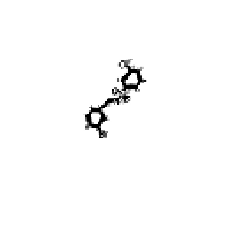 O=S(=O)(/N=C/c1cccc(Br)c1)c1cccc(Cl)c1